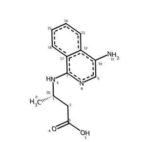 C[C@@H](CC(=O)O)Nc1ncc(N)c2ccccc12